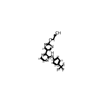 C#CCOc1ncc(-c2nccnc2Nc2ccc(C(F)(F)F)cc2)cn1